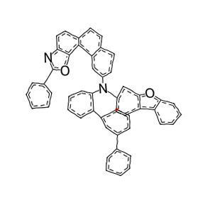 c1ccc(-c2cccc(-c3ccccc3N(c3ccc4c(c3)oc3ccccc34)c3ccc4ccc5ccc6nc(-c7ccccc7)oc6c5c4c3)c2)cc1